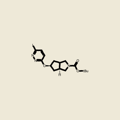 CC(C)(C)OC(=O)N1CC2C[C@H](Oc3ccc(I)nn3)C[C@@H]2C1